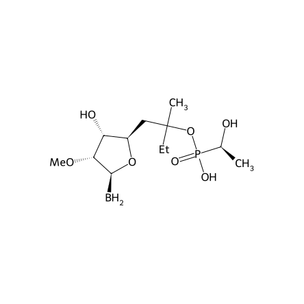 B[C@@H]1O[C@H](CC(C)(CC)OP(=O)(O)[C@H](C)O)[C@@H](O)[C@H]1OC